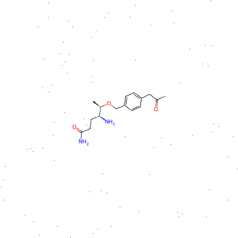 CC(=O)Cc1ccc(CO[C@H](C)[C@@H](N)CCC(N)=O)cc1